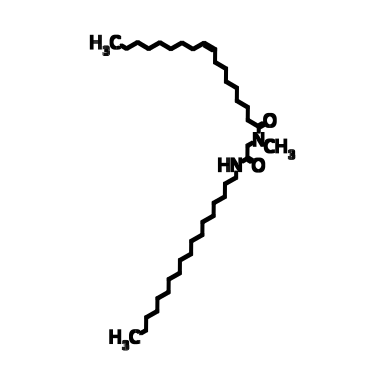 CCCCCCCC/C=C\CCCCCCCC(=O)N(C)CC(=O)NCCCCCCCCCCCCCCCCCC